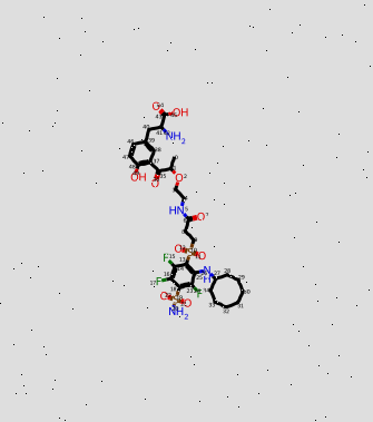 CC(OCCNC(=O)CCS(=O)(=O)c1c(F)c(F)c(S(N)(=O)=O)c(F)c1NC1CCCCCCC1)C(=O)c1cc(CC(N)C(=O)O)ccc1O